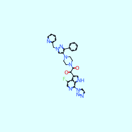 O=C(C(=O)N1CCN(c2cn(Cc3ccccn3)nc2-c2ccccc2)CC1)c1c[nH]c2c(-n3ccnn3)ncc(F)c12